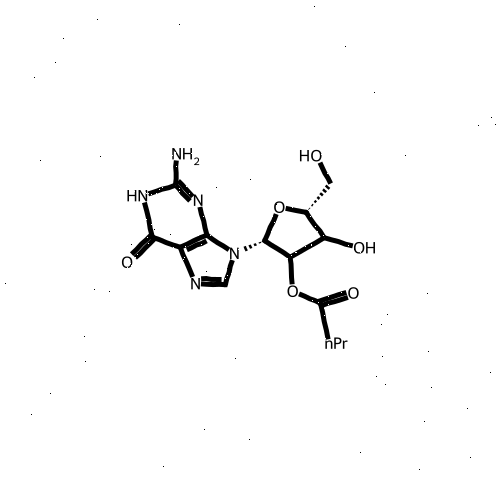 CCCC(=O)OC1C(O)[C@@H](CO)O[C@H]1n1cnc2c(=O)[nH]c(N)nc21